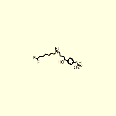 CCN(CCCCCCC(F)F)CCCC(O)c1ccc(NS(C)(=O)=O)cc1